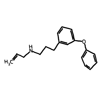 C=CCNCCCc1cccc(Oc2ccccc2)c1